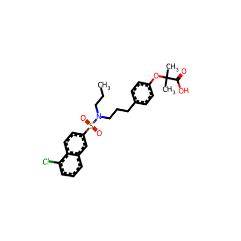 CCCN(CCCc1ccc(OC(C)(C)C(=O)O)cc1)S(=O)(=O)c1ccc2c(Cl)cccc2c1